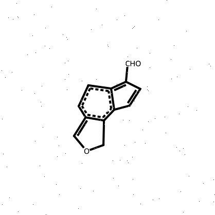 O=CC1=c2ccc3c(c2C=C1)COC=3